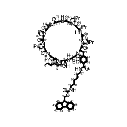 CC=CC[C@@H](C)[C@@H](O)[C@H]1C(=O)N[C@@H](CC)C(=O)N(C)C(Cc2ccc(C(=O)NCCCCCCNC(=O)OCC3c4ccccc4-c4ccccc43)cc2)C(=O)N(C)[C@@H](CC(C)C)C(=O)N[C@@H](C(C)C)C(=O)N(C)[C@@H](CC(C)C)C(=O)N[C@@H](C)C(=O)N[C@H](C)C(=O)N(C)[C@@H](CC(C)C)C(=O)N(C)[C@@H](CC(C)C)C(=O)N(C)[C@@H](C(C)C)C(=O)N1C